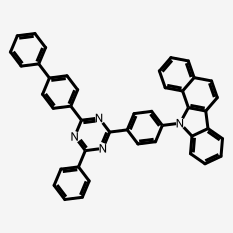 c1ccc(-c2ccc(-c3nc(-c4ccccc4)nc(-c4ccc(-n5c6ccccc6c6ccc7ccccc7c65)cc4)n3)cc2)cc1